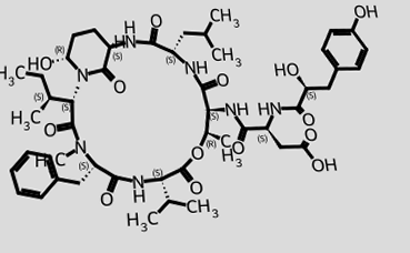 CC[C@H](C)[C@H]1C(=O)N(C)[C@@H](Cc2ccccc2)C(=O)N[C@@H](C(C)C)C(=O)O[C@H](C)[C@H](NC(=O)[C@H](CC(=O)O)NC(=O)[C@@H](O)Cc2ccc(O)cc2)C(=O)N[C@@H](CC(C)C)C(=O)N[C@H]2CC[C@@H](O)N1C2=O